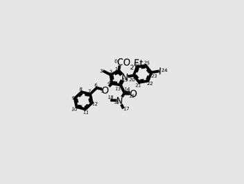 CCOC(=O)c1c(C)c(OCc2ccccc2)c(C(=O)N(C)C)n1-c1ccc(I)cc1